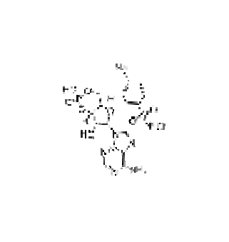 Cc1ccc(S(=O)(=O)[N-]Cl)cc1.Nc1ncnc2c1ncn2[C@@H]1O[C@@H]2COP(=O)(O)O[C@H]2[C@H]1O.[Na+]